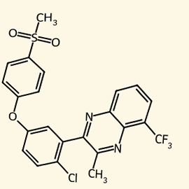 Cc1nc2c(C(F)(F)F)cccc2nc1-c1cc(Oc2ccc(S(C)(=O)=O)cc2)ccc1Cl